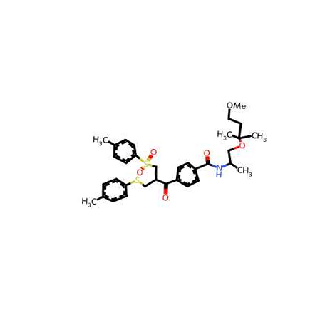 COCCC(C)(C)OCC(C)NC(=O)c1ccc(C(=O)C(CSc2ccc(C)cc2)CS(=O)(=O)c2ccc(C)cc2)cc1